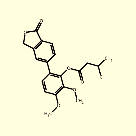 COc1ccc(-c2ccc3c(c2)COC3=O)c(OC(=O)CC(C)C)c1OC